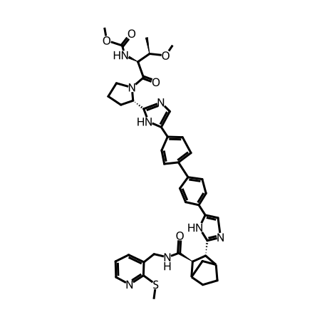 COC(=O)N[C@H](C(=O)N1CCC[C@H]1c1ncc(-c2ccc(-c3ccc(-c4cnc([C@@H]5C6CCC(C6)[C@H]5C(=O)NCc5cccnc5SC)[nH]4)cc3)cc2)[nH]1)[C@@H](C)OC